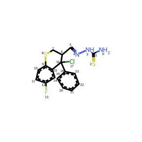 NC(=S)NN=CC1CSc2ccc(F)cc2C1(Cl)c1ccccc1